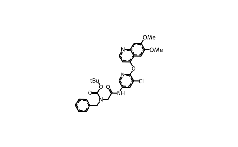 COc1cc2nccc(Oc3ncc(NC(=O)CN(Cc4ccccc4)C(=O)OC(C)(C)C)cc3Cl)c2cc1OC